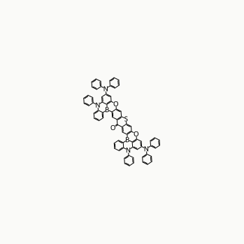 O=c1c2cc3c(cc2sc2cc4c(cc12)B1c2ccccc2N(c2ccccc2)c2cc(N(c5ccccc5)c5ccccc5)cc(c21)O4)Oc1cc(N(c2ccccc2)c2ccccc2)cc2c1B3c1ccccc1N2c1ccccc1